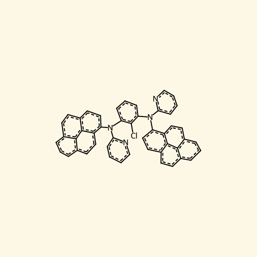 Clc1c(N(c2ccccn2)c2ccc3ccc4cccc5ccc2c3c45)cccc1N(c1ccccn1)c1ccc2ccc3cccc4ccc1c2c34